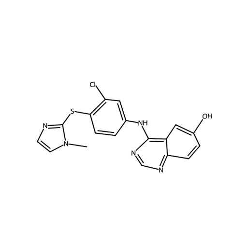 Cn1ccnc1Sc1ccc(Nc2ncnc3ccc(O)cc23)cc1Cl